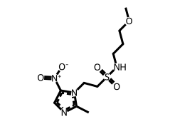 COCCCNS(=O)(=O)CCn1c([N+](=O)[O-])cnc1C